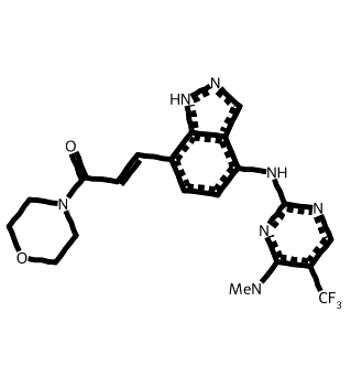 CNc1nc(Nc2ccc(/C=C/C(=O)N3CCOCC3)c3[nH]ncc23)ncc1C(F)(F)F